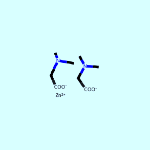 CN(C)CC(=O)[O-].CN(C)CC(=O)[O-].[Zn+2]